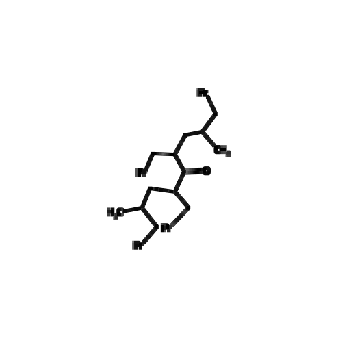 CC(C)CC(C)CC(CC(C)C)C(=O)C(CC(C)C)CC(C)CC(C)C